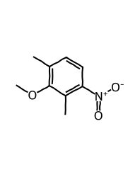 COc1c(C)ccc([N+](=O)[O-])c1C